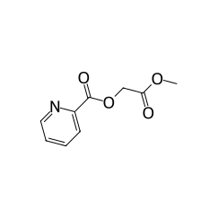 COC(=O)COC(=O)c1ccccn1